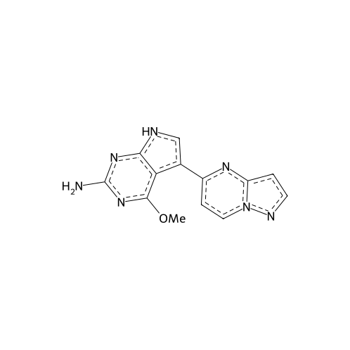 COc1nc(N)nc2[nH]cc(-c3ccn4nccc4n3)c12